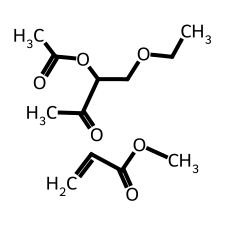 C=CC(=O)OC.CCOCC(OC(C)=O)C(C)=O